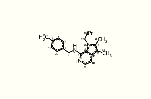 Cc1ccc(CNc2nccc3c(C)c(C)n(CC(C)C)c23)cc1